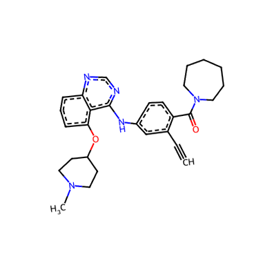 C#Cc1cc(Nc2ncnc3cccc(OC4CCN(C)CC4)c23)ccc1C(=O)N1CCCCCC1